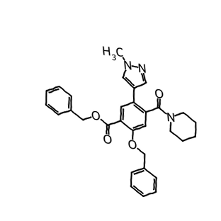 Cn1cc(-c2cc(C(=O)OCc3ccccc3)c(OCc3ccccc3)cc2C(=O)N2CCCCC2)cn1